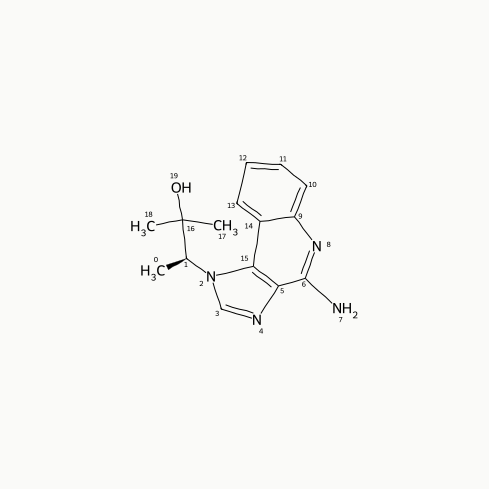 C[C@H](n1cnc2c(N)nc3ccccc3c21)C(C)(C)O